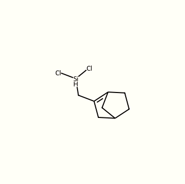 Cl[SiH](Cl)CC1=C2CCC(C2)C1